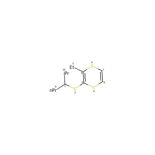 CCCC(SC1=C(CC)SC=CS1)C(C)C